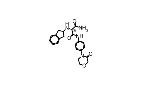 NC(=O)[C@H](NC1Cc2ccccc2C1)C(=O)Nc1ccc(N2CCOCC2=O)cc1